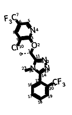 C[C@H](Oc1ncc(C(F)(F)F)cc1Cl)c1nnc(-c2ccccc2C(F)(F)F)n1C